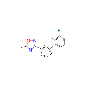 Cc1nc(-c2cccc(-c3cccc(Br)c3C)c2)no1